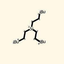 CCC(C)CC[Si](CCC(C)CC)CCC(C)CC